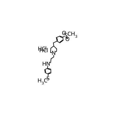 CSc1ccc(NCCCN2CCC(Cc3ccc(S(C)(=O)=O)cc3)CC2)cc1.Cl.Cl